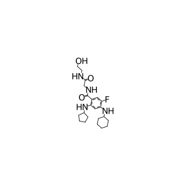 O=C(CNC(=O)c1cc(F)c(NC2CCCCC2)cc1NC1CCCC1)NCCO